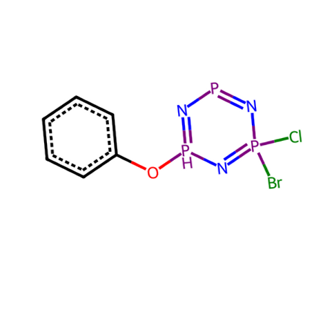 ClP1(Br)=N[PH](Oc2ccccc2)=NP=N1